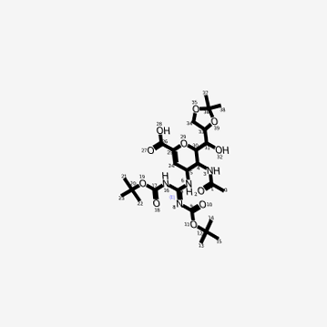 CC(=O)NC1C(N/C(=N\C(=O)OC(C)(C)C)NC(=O)OC(C)(C)C)C=C(C(=O)O)OC1C(O)C1COC(C)(C)O1